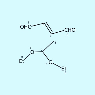 CCOC(C)OCC.O=C/C=C/C=O